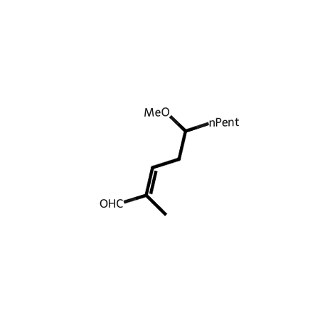 CCCCCC(CC=C(C)C=O)OC